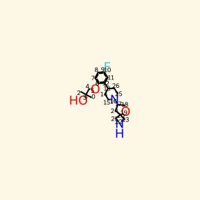 CC(C)(O)COc1ccc(F)cc1C1CCN(C2COC3(CNC3)C2)CC1